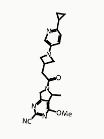 COc1nc(C#N)nc2c1C(C)N(C(=O)CC1CN(c3ccc(C4CC4)nc3)C1)C2